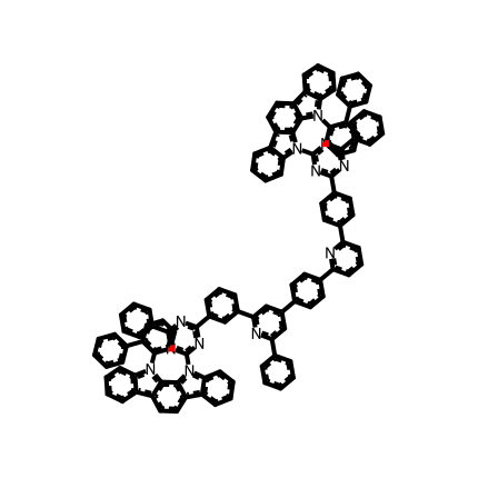 c1ccc(-c2cc(-c3ccc(-c4cccc(-c5ccc(-c6nc(-c7ccccc7)nc(-n7c8ccccc8c8ccc9c%10ccccc%10n(-c%10ccccc%10-c%10ccccc%10)c9c87)n6)cc5)n4)cc3)cc(-c3cccc(-c4nc(-c5ccccc5)nc(-n5c6ccccc6c6ccc7c8ccccc8n(-c8ccccc8-c8ccccc8)c7c65)n4)c3)n2)cc1